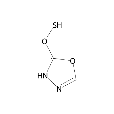 SO[C]1NN=CO1